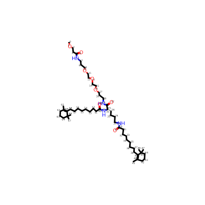 COCCC(=O)NCCCOCCOCCOCCCNC(=O)[C@H](CCCCNC(=O)CCCCCCCCC1=C(C)CCCC1(C)C)NC(=O)CCCCCCCCC1=C(C)CCCC1(C)C